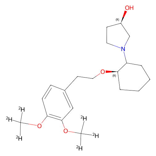 [2H]C([2H])([2H])Oc1ccc(CCO[C@@H]2CCCCC2N2CC[C@@H](O)C2)cc1OC([2H])([2H])[2H]